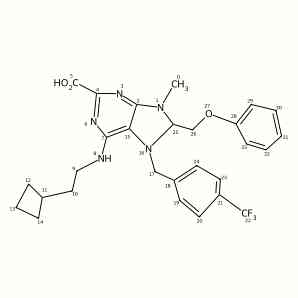 CN1c2nc(C(=O)O)nc(NCCC3CCC3)c2N(Cc2ccc(C(F)(F)F)cc2)C1COc1ccccc1